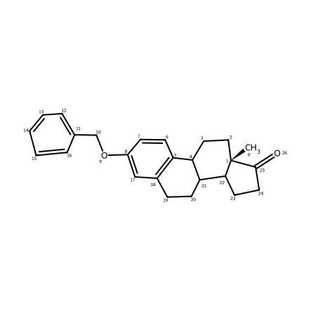 C[C@]12CCC3c4ccc(OCc5ccccc5)cc4CCC3C1CCC2=O